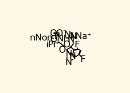 CCCCCCCCCOP(=O)([O-])NC(C(=O)OC(Cn1cncn1)(Cn1cncn1)c1ccc(F)cc1F)C(C)C.[Na+]